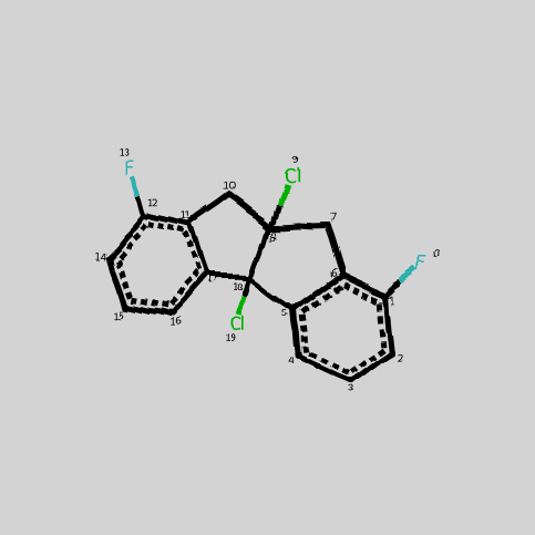 Fc1cccc2c1CC1(Cl)Cc3c(F)cccc3C21Cl